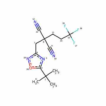 CC(C)(C)c1nc(CC(C#N)(C#N)CCC(F)(F)F)no1